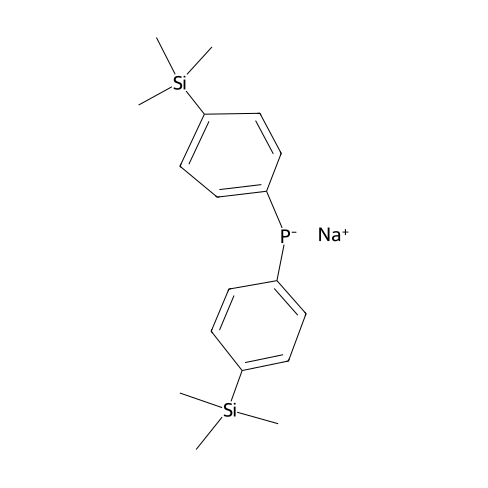 C[Si](C)(C)c1ccc([P-]c2ccc([Si](C)(C)C)cc2)cc1.[Na+]